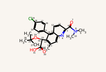 Cc1cc2nc(C(=O)N(C)C)ccc2c(-c2ccc(Cl)cc2)c1[C@H](OC(C)(C)C)C(=O)O